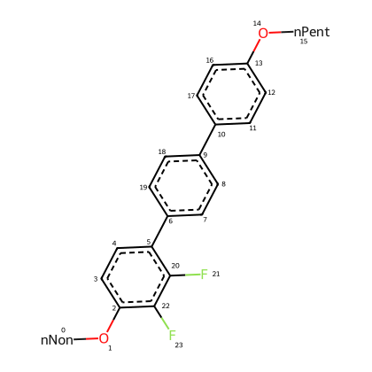 CCCCCCCCCOc1ccc(-c2ccc(-c3ccc(OCCCCC)cc3)cc2)c(F)c1F